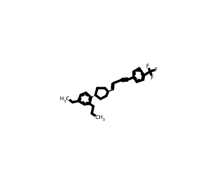 CCCc1cc(CC)ccc1[C@H]1CC[C@H](/C=C/C#Cc2ccc(C(F)(F)F)cc2)CC1